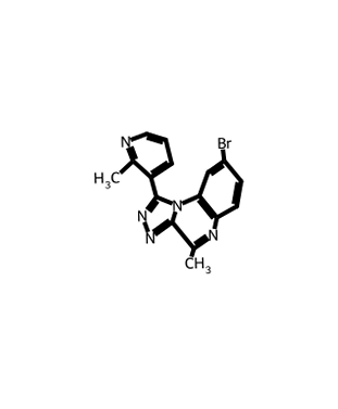 Cc1ncccc1-c1nnc2c(C)nc3ccc(Br)cc3n12